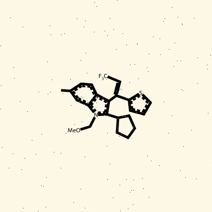 COCn1c(C2CCCC2)c(/C(=C\C(F)(F)F)c2cccs2)c2ccc(C)cc21